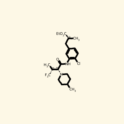 CCOC(=O)[C@@H](C)Cc1ccc(Cl)c(NC(=O)[C@@H]([C@@H](C)C(F)(F)F)N2CCC(C)CC2)c1